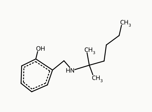 CCCCC(C)(C)NCc1ccccc1O